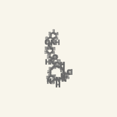 Cc1ccccc1NC(=O)N1CCC(CC(=O)Nc2ccc3cc2CCc2cncc(c2)Nc2ncc(Cl)c(n2)N3)CC1